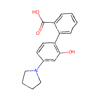 O=C(O)c1ccccc1-c1ccc(N2CCCC2)cc1O